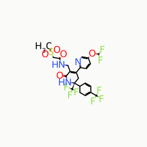 CS(=O)(=O)CC(=O)NCC1=C(c2ccc(OC(F)F)cn2)C[C@@](C2C=CC(C(F)(F)F)=CC2)(C(F)(F)F)NC1=O